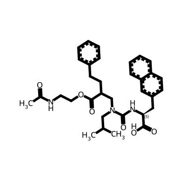 CC(=O)NCCOC(=O)C(CCc1ccccc1)CN(CC(C)C)C(=O)N[C@@H](Cc1ccc2ccccc2c1)C(=O)O